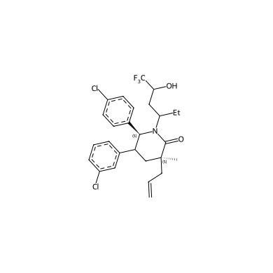 C=CC[C@@]1(C)CC(c2cccc(Cl)c2)[C@@H](c2ccc(Cl)cc2)N(C(CC)CC(O)C(F)(F)F)C1=O